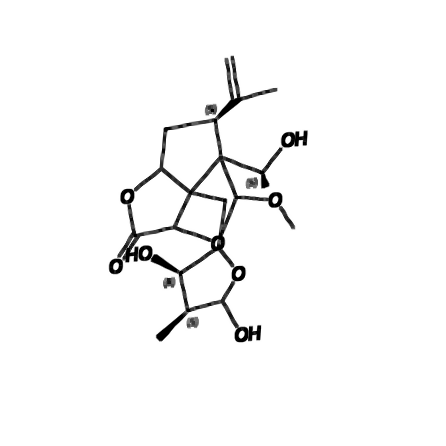 C=C(C)[C@@H]1CC2OC(=O)C3OC(OC)C1([C@H](C)O)C23CC1OC(O)[C@@H](C)[C@H]1O